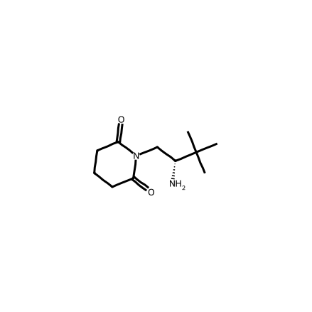 CC(C)(C)[C@H](N)CN1C(=O)CCCC1=O